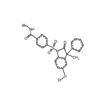 CCOc1ccc2c(c1)C(C)(c1ccccc1)C(=O)N2S(=O)(=O)c1ccc(C(=O)NC(C)(C)C)cc1